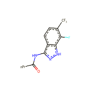 CCCC(=O)Nc1n[nH]c2c(F)c(C(F)(F)F)ccc12